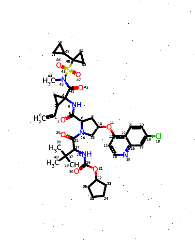 C=CC1CC1(NC(=O)C1CC(Oc2ccnc3cc(Cl)ccc23)CN1C(=O)C(NC(=O)OC1CCCC1)C(C)(C)C)C(=O)N(C)S(=O)(=O)C1(C2CC2)CC1